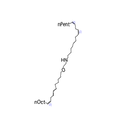 CCCCC/C=C\C/C=C\CCCCCCCCNCCOCCCCCCCCC/C=C\CCCCCCCC